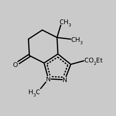 CCOC(=O)c1nn(C)c2c1C(C)(C)CCC2=O